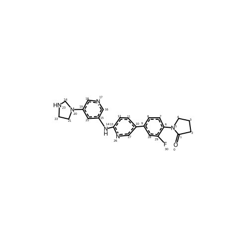 O=C1CCCN1c1ccc(-c2ccc(Nc3cncc(N4CCNC4)c3)nc2)cc1F